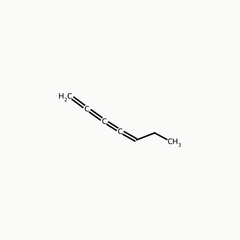 C=C=C=C=CCC